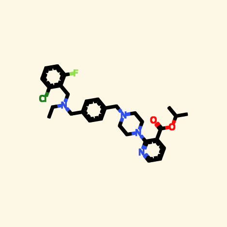 CCN(Cc1ccc(CN2CCN(c3ncccc3C(=O)OC(C)C)CC2)cc1)Cc1c(F)cccc1Cl